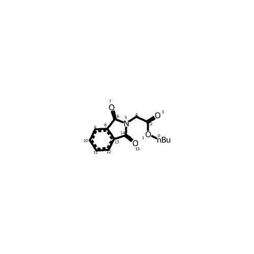 CCCCOC(=O)CN1C(=O)c2ccccc2C1=O